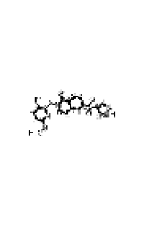 COc1ccc(F)c(Cn2ncc3cc(S(=O)(=O)c4cn[nH]c4)ccc3c2=O)n1